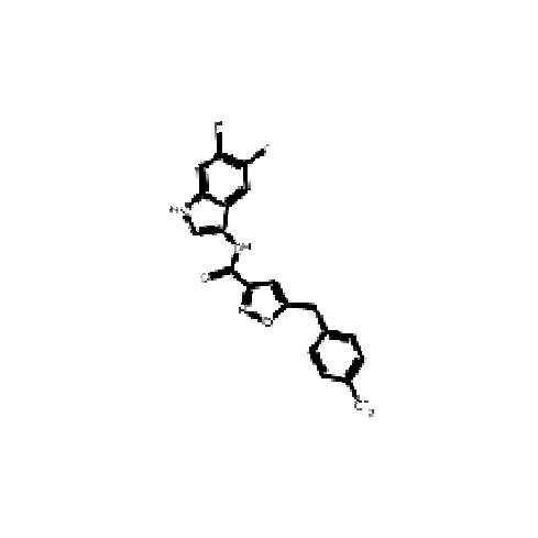 O=C(Nc1c[nH]c2cc(F)c(F)cc12)c1cc(Cc2ccc(C(F)(F)F)cc2)on1